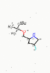 CC(C)(C)[Si](C)(C)OCC1CC(F)CN1